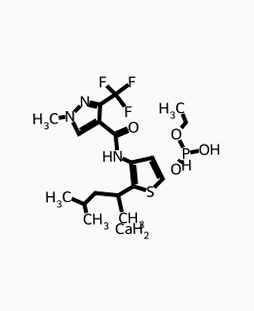 CC(C)CC(C)c1sccc1NC(=O)c1cn(C)nc1C(F)(F)F.CCO[PH](=O)O.[CaH2]